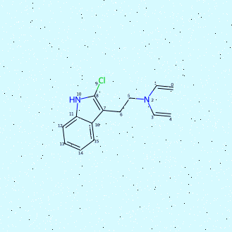 C=CN(C=C)CCc1c(Cl)[nH]c2ccccc12